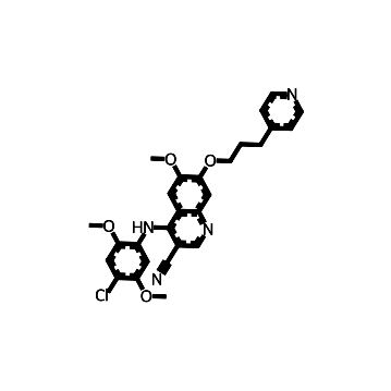 COc1cc(Nc2c(C#N)cnc3cc(OCCCc4ccncc4)c(OC)cc23)c(OC)cc1Cl